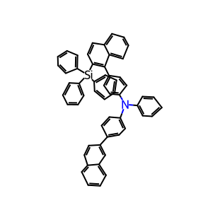 c1ccc(N(c2ccc(-c3ccc4ccccc4c3)cc2)c2ccc(-c3c([Si](c4ccccc4)(c4ccccc4)c4ccccc4)ccc4ccccc34)cc2)cc1